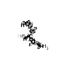 CN(CC[C@@H]1CN(c2cnc3c(n2)NC(=O)CO3)C(=O)O1)C1Cc2cc(OCC(C)(C)N)cc(F)c2C1.O=CO